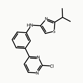 CC(C)c1nc(Nc2cccc(-c3ccnc(Cl)n3)c2)cs1